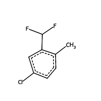 Cc1ccc(Cl)cc1C(F)F